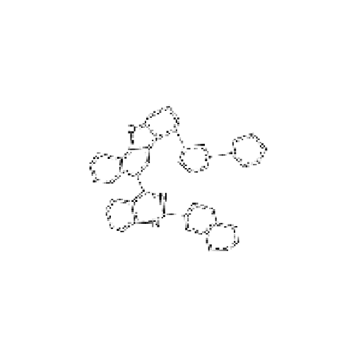 c1ccc(-c2cccc(-c3cccc4oc5c6ccccc6c(-c6nc(-c7ccc8ccccc8c7)nc7ccccc67)cc5c34)c2)cc1